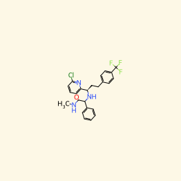 CNC(=O)[C@@H](N[C@H](CCc1ccc(C(F)(F)F)cc1)c1cccc(Cl)n1)c1ccccc1